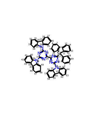 c1ccc([Si](c2ccccc2)(c2ccccc2)c2nc(-c3nc(-n4c5ccccc5c5ccccc54)nc(-n4c5ccccc5c5ccccc54)n3)nc(-n3c4ccccc4c4ccccc43)n2)cc1